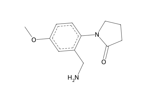 COc1ccc(N2CCCC2=O)c(CN)c1